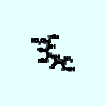 CCCC[C@H](NC(=O)[C@H](CCCC)NC(=O)[C@@H](N)CS)C(=O)O